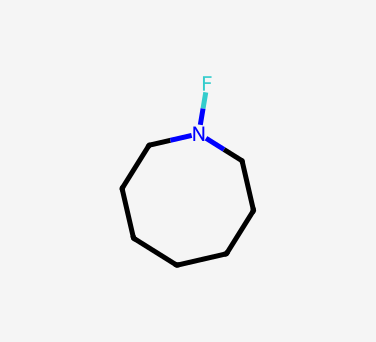 FN1CCCCCCC1